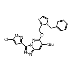 CC(C)(C)c1cc2nnc(-c3cc(Cl)on3)n2nc1OCc1nccn1Cc1ccccc1